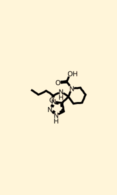 CCCC(=O)NC1(c2c[nH]nn2)CCCCN1C(=O)O